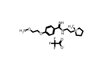 C[N+]1(CCNC(=N)c2ccc(OCCON)cc2)CCCC1.O=C([O-])C(F)(F)F